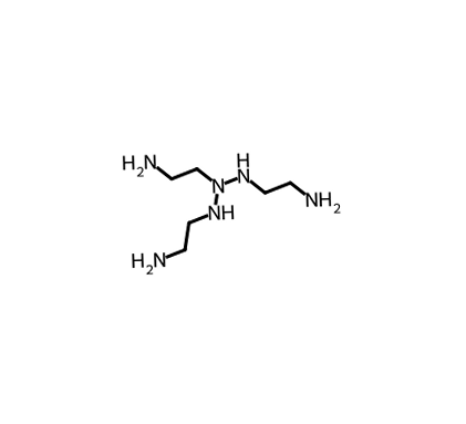 NCCNN(CCN)NCCN